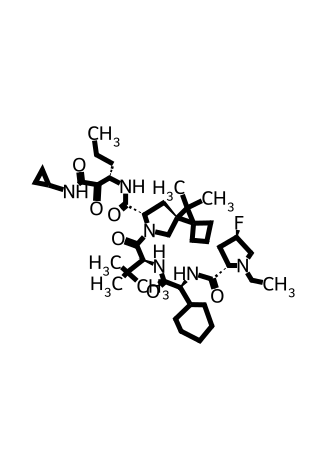 CCC[C@H](NC(=O)[C@@H]1C[C@@]2(CN1C(=O)[C@@H](NC(=O)[C@@H](NC(=O)[C@@H]1C[C@@H](F)CN1CC)C1CCCCC1)C(C)(C)C)C(C)(C)C21CCC1)C(=O)C(=O)NC1CC1